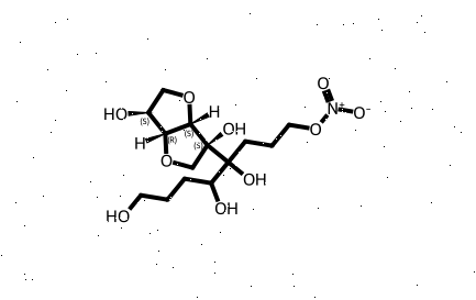 O=[N+]([O-])OCCCC(O)(C(O)CCCO)[C@]1(O)CO[C@@H]2[C@@H](O)CO[C@@H]21